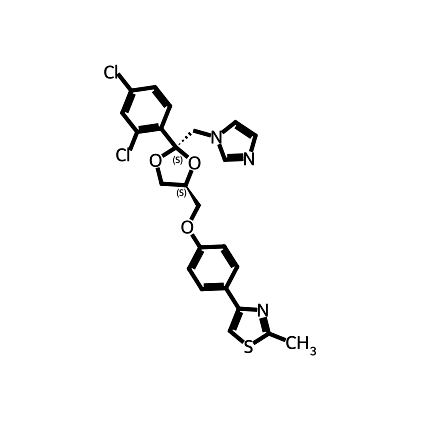 Cc1nc(-c2ccc(OC[C@H]3CO[C@@](Cn4ccnc4)(c4ccc(Cl)cc4Cl)O3)cc2)cs1